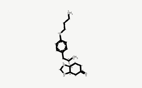 CCCCOc1ccc(CC(C)[C@]23CCC(=O)CC2OCO3)cc1